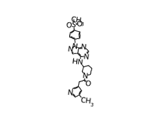 Cc1cncc(CC(=O)N2CCCC(Nc3ncnc4c3cnn4-c3ccc(S(C)(=O)=O)cc3)C2)c1